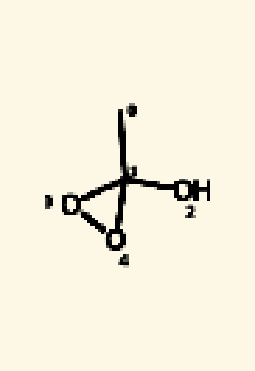 CC1(O)OO1